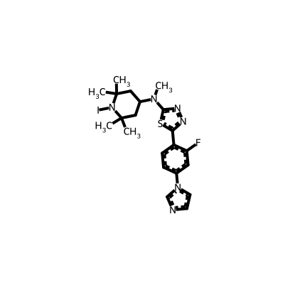 CN(c1nnc(-c2ccc(-n3ccnc3)cc2F)s1)C1CC(C)(C)N(I)C(C)(C)C1